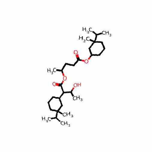 CC(CCC(=O)OC1CCCC(C)(C(C)C)C1)OC(=O)C(C(C)O)C1CCCC(C)(C(C)C)C1